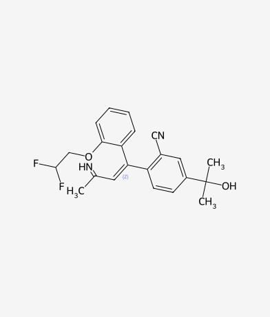 CC(=N)/C=C(/c1ccc(C(C)(C)O)cc1C#N)c1ccccc1OCC(F)F